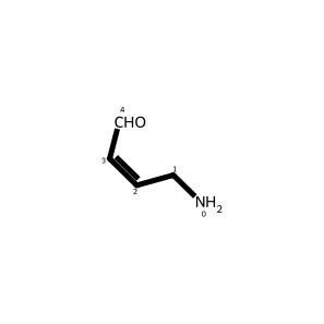 NC/C=C\C=O